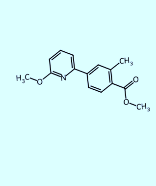 COC(=O)c1ccc(-c2cccc(OC)n2)cc1C